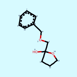 OC1(COCc2ccccc2)CCCO1